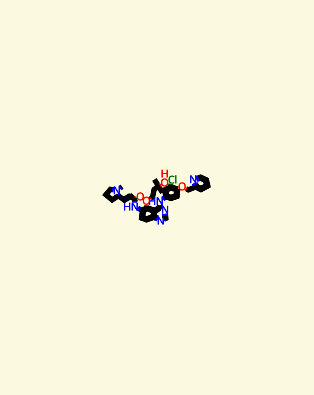 CN1CCCC1/C=C/C(=O)Nc1ccc2ncnc(Nc3ccc(OCc4ccccn4)c(Cl)c3)c2c1OCCC(C)(C)O